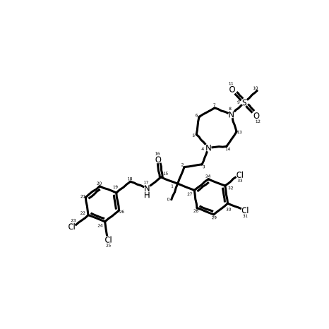 CC(CCN1CCCN(S(C)(=O)=O)CC1)(C(=O)NCc1ccc(Cl)c(Cl)c1)c1ccc(Cl)c(Cl)c1